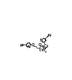 C=C(CCCOc1ccc(C#N)cn1)C(=O)N1N=CCC1c1cncc(C#N)c1